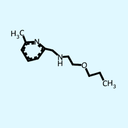 CCCOCCNCc1cccc(C)n1